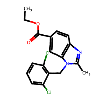 CCOC(=O)c1ccc2nc(C)n(Cc3c(Cl)cccc3Cl)c2c1